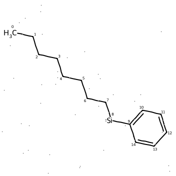 CCCCCCCC[Si]c1ccccc1